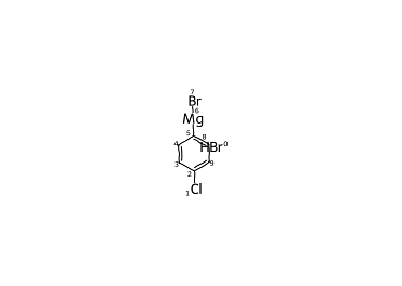 Br.Clc1cc[c]([Mg][Br])cc1